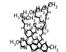 Cc1ccc2c(c1)C(CCCCCN(CCCN(C)C)CCCN(C)C)(CCCCCN(CCCN(C)C)CCCN(C)C)c1cc(-c3cnc(C)cn3)ccc1-2